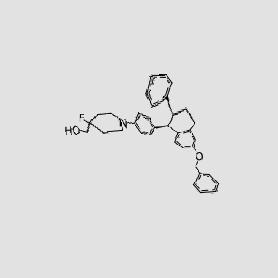 OCC1(F)CCN(c2ccc([C@@H]3c4ccc(OCc5ccccc5)cc4CC[C@@H]3c3ccccc3)cc2)CC1